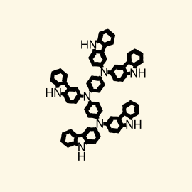 C1=CC2Nc3ccc(N(c4ccc(N(c5ccc(N(c6ccc7[nH]c8ccccc8c7c6)c6ccc7[nH]c8ccccc8c7c6)cc5)c5ccc6[nH]c7ccccc7c6c5)cc4)c4ccc5[nH]c6ccccc6c5c4)cc3C2C=C1